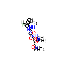 CN(C)C(=O)/C=C/CC[C@H](OC(=O)N(C)C)C(=O)Nc1cccn(Cc2nc3cc(F)cc(CC(C)(C)C)c3[nH]2)c1=O